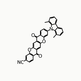 Cc1cccc2c3cccc(C)c3n(-c3ccc4c(=O)c5cc6oc7cc(C#N)ccc7c(=O)c6cc5oc4c3)c12